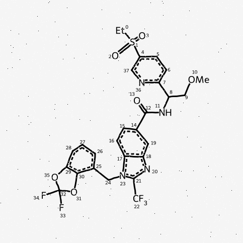 CCS(=O)(=O)c1ccc(C(COC)NC(=O)c2ccc3c(c2)nc(C(F)(F)F)n3Cc2cccc3c2OC(F)(F)O3)nc1